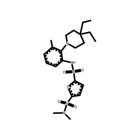 CCC1(CC)CCN(c2c(C)cccc2NS(=O)(=O)c2ccc(S(=O)(=O)N(C)C)s2)CC1